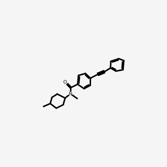 CC1CCC(N(C)C(=O)c2ccc(C#Cc3ccccc3)cc2)CC1